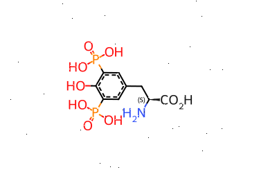 N[C@@H](Cc1cc(P(=O)(O)O)c(O)c(P(=O)(O)O)c1)C(=O)O